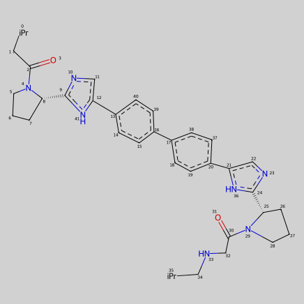 CC(C)[CH]C(=O)N1CCC[C@H]1c1ncc(-c2ccc(-c3ccc(-c4cnc([C@@H]5CCCN5C(=O)CNCC(C)C)[nH]4)cc3)cc2)[nH]1